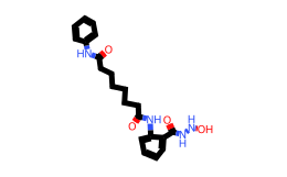 O=C(CCCCCCC(=O)Nc1ccccc1C(=O)NNO)Nc1ccccc1